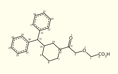 O=C(O)COCC(=O)N1CCCC(C(c2ccccc2)c2ccccc2)C1